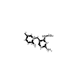 CCCCNc1nc(N)ncc1Cn1cc(C)ccc1=O